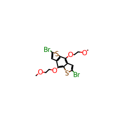 COCCOc1c2cc(Br)sc2c(OCCOC)c2cc(Br)sc12